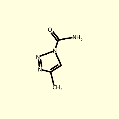 Cc1cn(C(N)=O)nn1